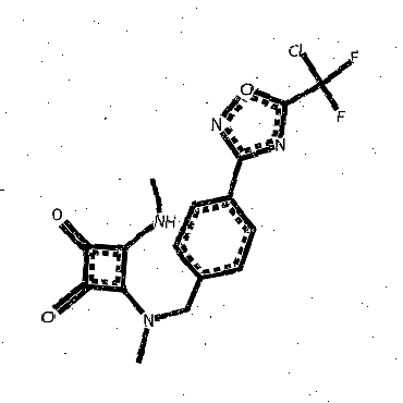 CNc1c(N(C)Cc2ccc(-c3noc(C(F)(F)Cl)n3)cc2)c(=O)c1=O